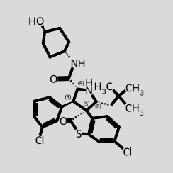 CC(C)(C)C[C@H]1N[C@@H](C(=O)N[C@H]2CC[C@H](O)CC2)[C@H](c2cccc(Cl)c2)[C@@]12C(=O)Sc1cc(Cl)ccc12